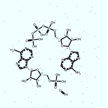 Nc1ncnc2c1ncn2[C@@H]1O[C@H](COP(=O)(O)O)[C@@H](O)[C@H]1O.Nc1ncnc2c1ncn2[C@@H]1O[C@H](COP(=O)(O)OP(=O)(O)OP(=O)(O)O)[C@@H](O)[C@H]1O.O=P